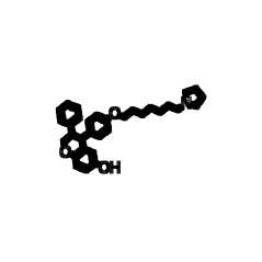 Oc1ccc2c(c1)C(c1ccc(OCCCCCCCN3CCCC3)cc1)C(c1ccccc1)CO2